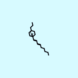 CCCCCC=CC=CC12CCC(CCC)(CC1)CC2